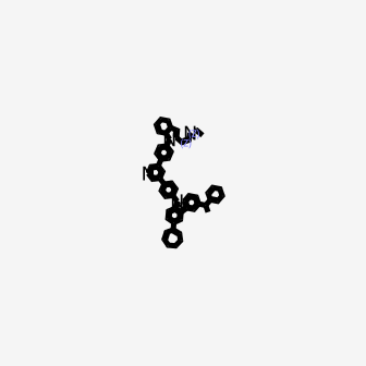 C/C=N\C=C/C1=CC2CCC=CC2N1c1ccc(-c2cncc(-c3ccc(-n4c5ccc(C6=CCCCC=C6)cc5c5cc(C(C)C6=CCCC=C6)ccc54)cc3)c2)cc1